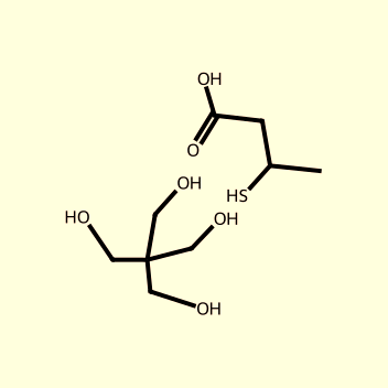 CC(S)CC(=O)O.OCC(CO)(CO)CO